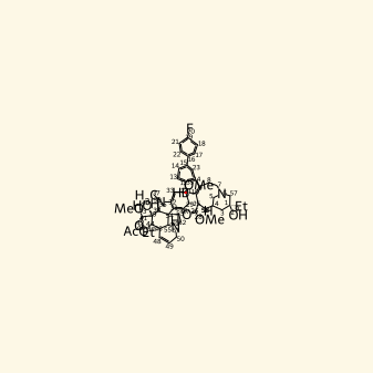 CC[C@]1(O)C[C@H]2CN(CCC3=C(Bc4ccc(-c5ccc(F)cc5)cc43)[C@@](C(=O)OC)(C3C=C4C(=CC3OC)N(C)[C@H]3[C@@](O)(C(=O)OC)[C@H](OC(C)=O)[C@]5(CC)C=CCN6CC[C@]43[C@@H]65)C2)C1